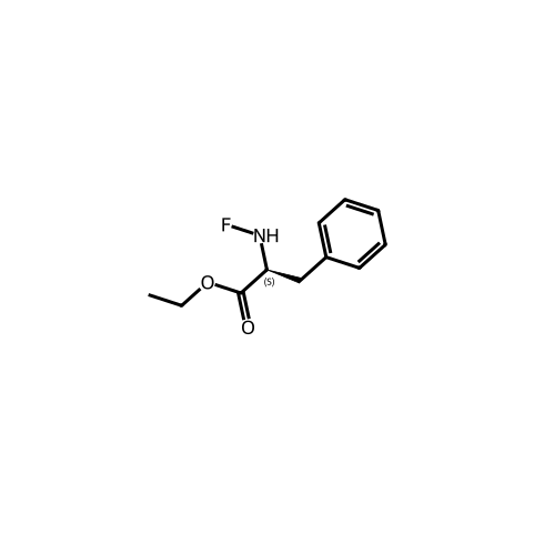 CCOC(=O)[C@H](Cc1ccccc1)NF